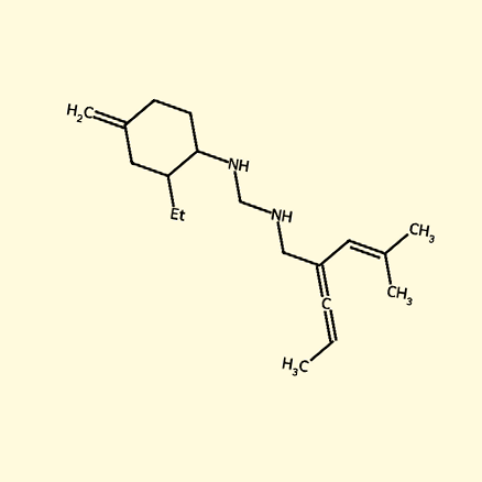 C=C1CCC(NCNCC(=C=CC)C=C(C)C)C(CC)C1